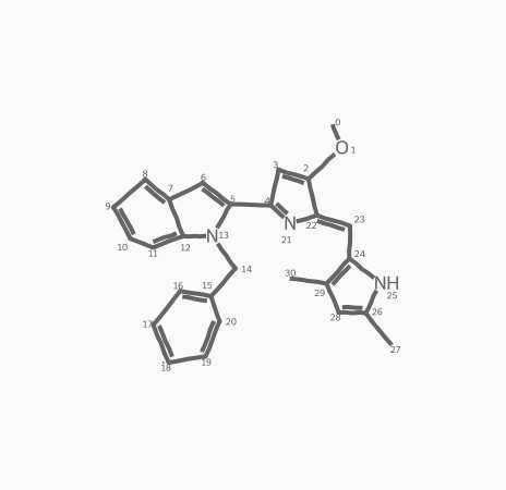 COC1=CC(c2cc3ccccc3n2Cc2cc[c]cc2)=N/C1=C\c1[nH]c(C)cc1C